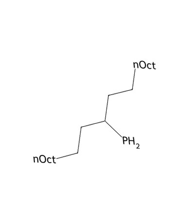 CCCCCCCCCCC(P)CCCCCCCCCC